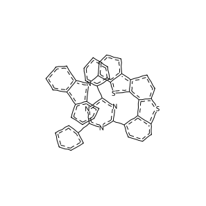 c1ccc(-c2nc(-c3ccccc3)nc(-c3cccc4sc5ccc6c7cccc(-n8c9ccccc9c9ccccc98)c7sc6c5c34)n2)cc1